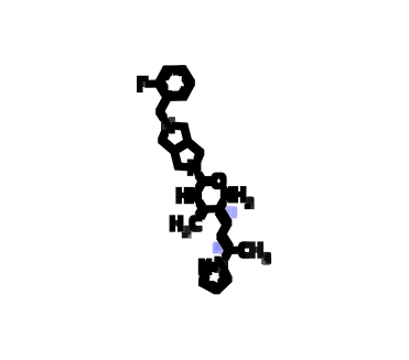 C=C(NC(=O)N1CC2CN(Cc3ccccc3F)CC2C1)/C(N)=C\C=C(/C)n1cccn1